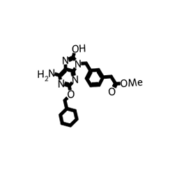 COC(=O)Cc1cccc(Cn2c(O)nc3c(N)nc(OCC4CCCCC4)nc32)c1